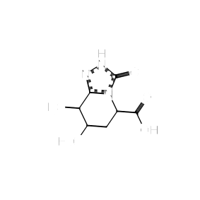 CC1CC(C(=O)O)n2c(n[nH]c2=O)C1C